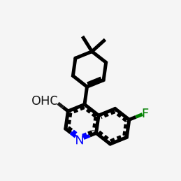 CC1(C)CC=C(c2c(C=O)cnc3ccc(F)cc23)CC1